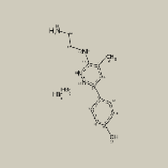 Br.Br.Cc1cc(-c2ccc(O)cc2)nnc1NCCN